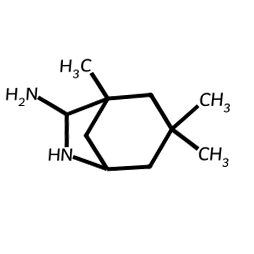 CC1(C)CC2CC(C)(C1)C(N)N2